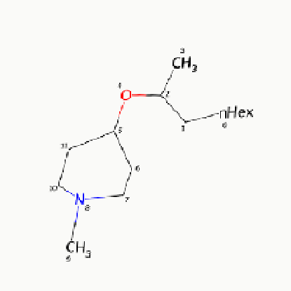 CCCCCCCC(C)OC1CCN(C)CC1